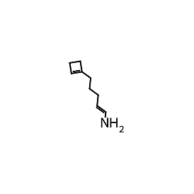 NC=CCCCC1=CCC1